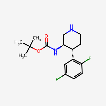 CC(C)(C)OC(=O)N[C@H]1CNCC[C@@H]1c1cc(F)ccc1F